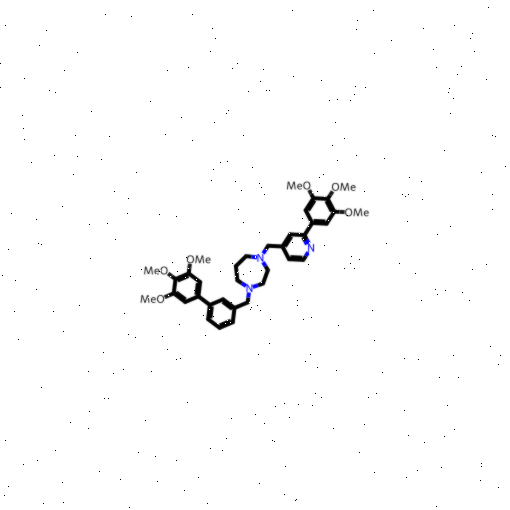 COc1cc(-c2cccc(CN3CCCN(Cc4ccnc(-c5cc(OC)c(OC)c(OC)c5)c4)CC3)c2)cc(OC)c1OC